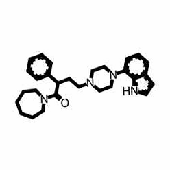 O=C(C(CCN1CCN(c2cccc3cc[nH]c23)CC1)c1ccccc1)N1CCCCCC1